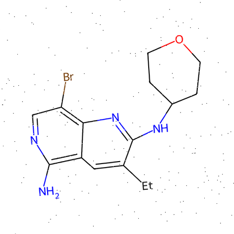 CCc1cc2c(N)ncc(Br)c2nc1NC1CCOCC1